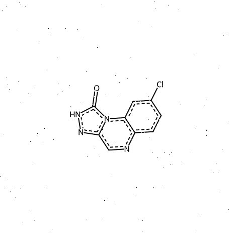 O=c1[nH]nc2cnc3ccc(Cl)cc3n12